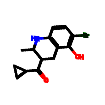 CC1Nc2ccc(Br)c(O)c2CC1C(=O)C1CC1